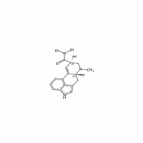 CCN(CC)C(=O)[C@]1(C(C)=O)C=C2c3cccc4[nH]cc(c34)C[C@H]2N(C)C1